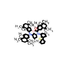 Cc1cc2c3c(c1)N(c1cccc4c1sc1ccccc14)c1c(oc4cc5c(cc14)C(C)(C)CCC5(C)C)B3c1cc3c(cc1N2c1ccc2c(c1)C(C)(C)CCC2(C)C)C(C)(C)CCC3(C)C